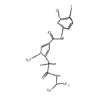 CC(NC(=O)C(F)(F)c1cc(C(=O)Nc2ccc(F)c(Cl)c2)cn1C)C(F)(F)F